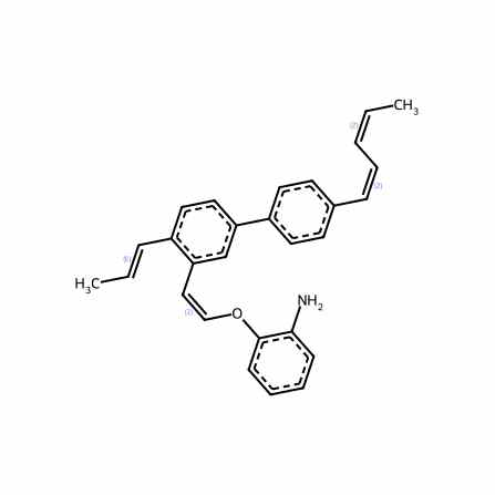 C/C=C\C=C/c1ccc(-c2ccc(/C=C/C)c(/C=C\Oc3ccccc3N)c2)cc1